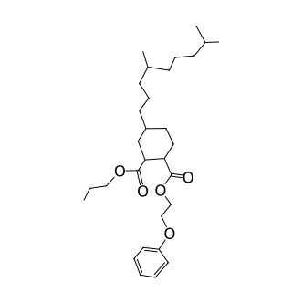 CCCOC(=O)C1CC(CCCC(C)CCCC(C)C)CCC1C(=O)OCCOc1ccccc1